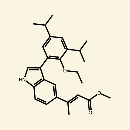 CCOc1c(-c2c[nH]c3ccc(C(C)=CC(=O)OC)cc23)cc(C(C)C)cc1C(C)C